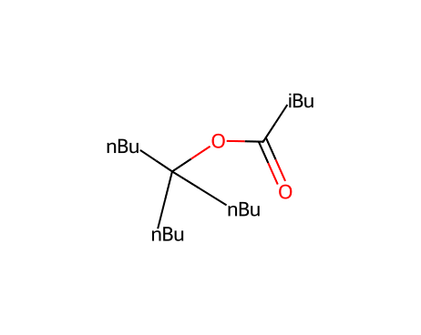 CCCCC(CCCC)(CCCC)OC(=O)C(C)CC